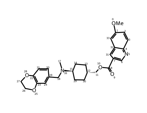 COc1ccc2ncc(C(=O)OC[C@H]3CC[C@H](N(C)Cc4ccc5c(c4)OCCO5)CC3)cc2c1